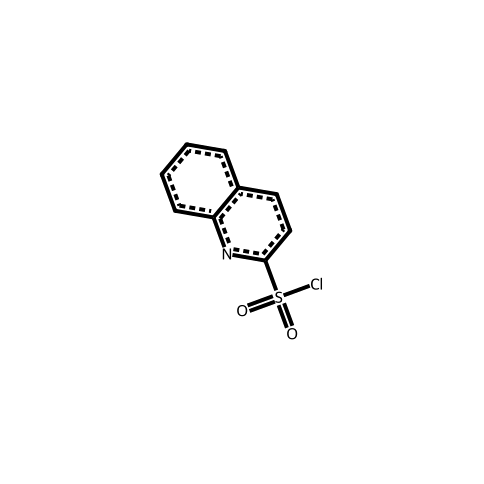 O=S(=O)(Cl)c1ccc2ccccc2n1